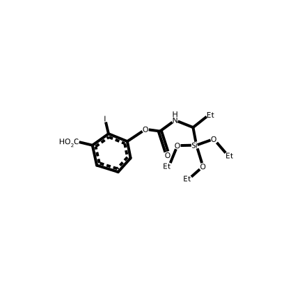 CCO[Si](OCC)(OCC)C(CC)NC(=O)Oc1cccc(C(=O)O)c1I